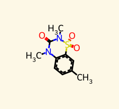 Cc1ccc2c(c1)S(=O)(=O)N(C)C(=O)N2C